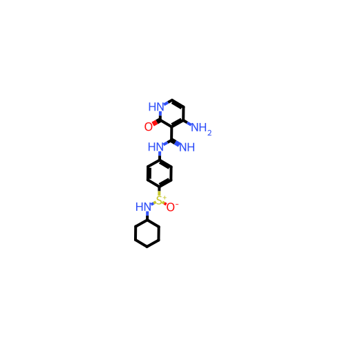 N=C(Nc1ccc([S+]([O-])NC2CCCCC2)cc1)c1c(N)cc[nH]c1=O